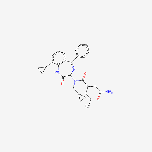 NC(=O)CC(CCC(F)(F)F)C(=O)N(CC1CC1)C1N=C(c2ccccc2)c2cccc(C3CC3)c2NC1=O